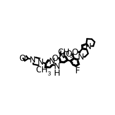 CC1CN(C2COC2)CCN1c1ccc(Nc2cc(-c3cc(F)cc(N4CCc5c(cc6n5CCCC6)C4=O)c3CO)cn(C)c2=O)nc1